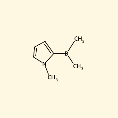 CB(C)c1cccn1C